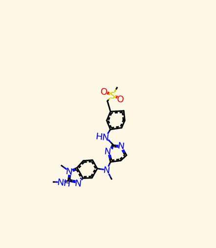 CNc1nc2cc(N(C)c3ccnc(Nc4cccc(CS(C)(=O)=O)c4)n3)ccc2n1C